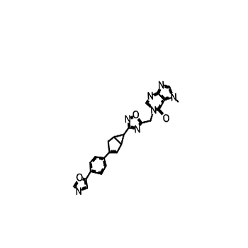 Cn1cnc2ncn(Cc3nc(C4C5C=C(c6ccc(-c7cnco7)cc6)CC54)no3)c(=O)c21